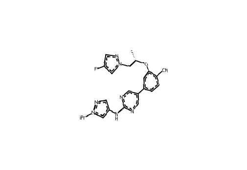 CC(C)n1cc(Nc2ncc(-c3ccc(C#N)c(O[C@@H](C)Cn4cc(F)cn4)c3)cn2)cn1